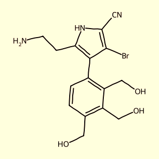 N#Cc1[nH]c(CCN)c(-c2ccc(CO)c(CO)c2CO)c1Br